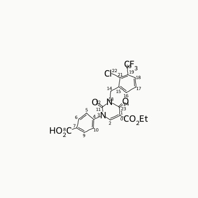 CCOC(=O)c1cn(-c2ccc(C(=O)O)cc2)c(=O)n(Cc2cccc(C(F)(F)F)c2Cl)c1=O